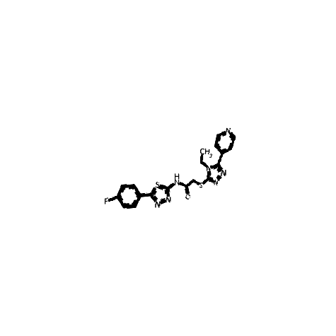 CCn1c(SCC(=O)Nc2nnc(-c3ccc(F)cc3)s2)nnc1-c1ccncc1